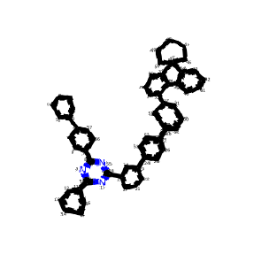 c1ccc(-c2ccc(-c3nc(-c4ccccc4)nc(-c4cccc(-c5ccc(-c6cccc(-c7cccc8c7-c7ccccc7C87CCCCC7)c6)cc5)c4)n3)cc2)cc1